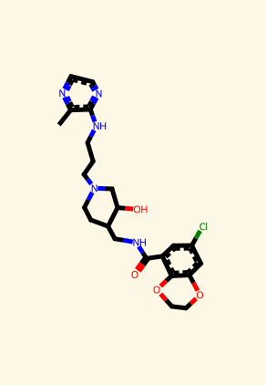 Cc1nccnc1NCCCN1CCC(CNC(=O)c2cc(Cl)cc3c2OCCO3)C(O)C1